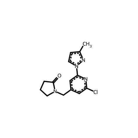 Cc1ccn(-c2cc(CN3CCCC3=O)cc(Cl)n2)n1